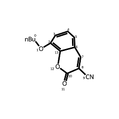 CCCCOc1cccc2cc(C#N)c(=O)oc12